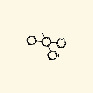 Cc1cc(-c2cccnc2)c(-c2cccnc2)cc1-c1ccccc1